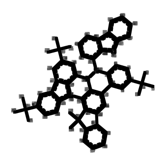 CC(C)(C)c1ccc2c(c1)-c1cc3c(c4c1B(c1cc(C(C)(C)C)cc5c6cc(C(C)(C)C)ccc6n-4c15)N2c1cccc2c1oc1ccccc12)C(C)(C)c1ccccc1-3